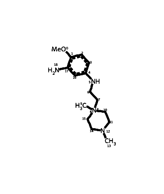 COc1ccc(NCC[N+]2(C)CCN(C)CC2)cc1N